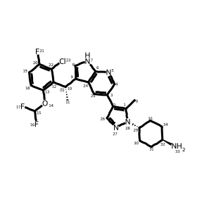 Cc1c(-c2cnc3[nH]cc([C@H](C)c4c(OC(F)F)ccc(F)c4Cl)c3c2)cnn1[C@H]1CC[C@H](N)CC1